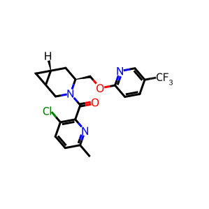 Cc1ccc(Cl)c(C(=O)N2CC3C[C@@H]3C[C@H]2COc2ccc(C(F)(F)F)cn2)n1